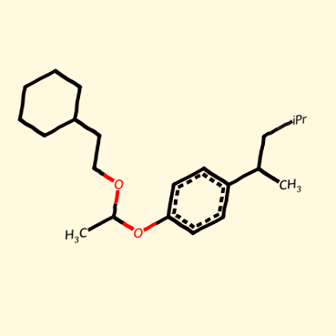 CC(C)CC(C)c1ccc(OC(C)OCCC2CCCCC2)cc1